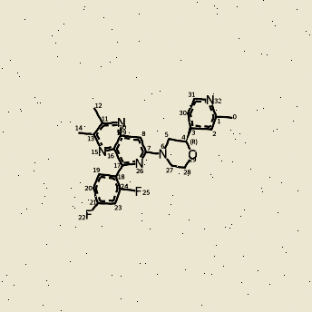 Cc1cc([C@@H]2CN(c3cc4nc(C)c(C)nc4c(-c4ccc(F)cc4F)n3)CCO2)ccn1